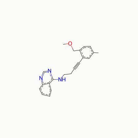 COCc1ccc(C)cc1C#CCCNc1ncnc2ccccc12